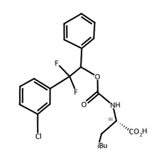 CCC(C)C[C@H](NC(=O)OC(c1ccccc1)C(F)(F)c1cccc(Cl)c1)C(=O)O